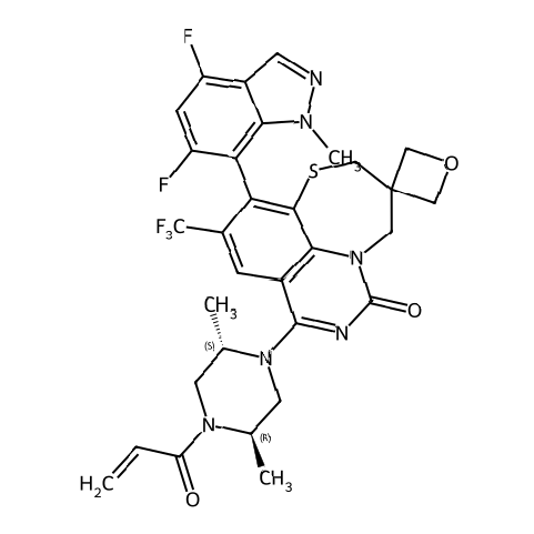 C=CC(=O)N1C[C@H](C)N(c2nc(=O)n3c4c(c(-c5c(F)cc(F)c6cnn(C)c56)c(C(F)(F)F)cc24)SCC2(COC2)C3)C[C@H]1C